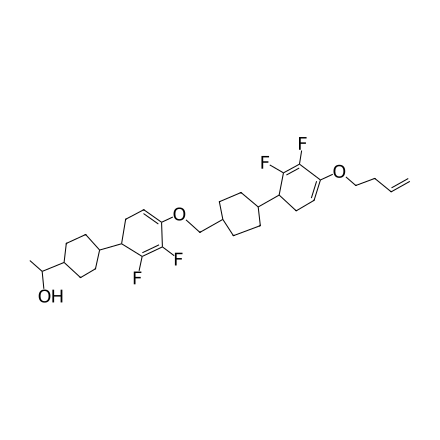 C=CCCOC1=CCC(C2CCC(COC3=CCC(C4CCC(C(C)O)CC4)C(F)=C3F)CC2)C(F)=C1F